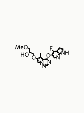 COC[C@@H](O)COc1cn2ncnc(Oc3cnc4[nH]ccc4c3F)c2c1C